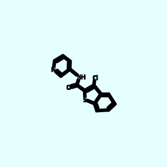 O=C(Nc1cccnc1)c1sc2ccccc2c1Cl